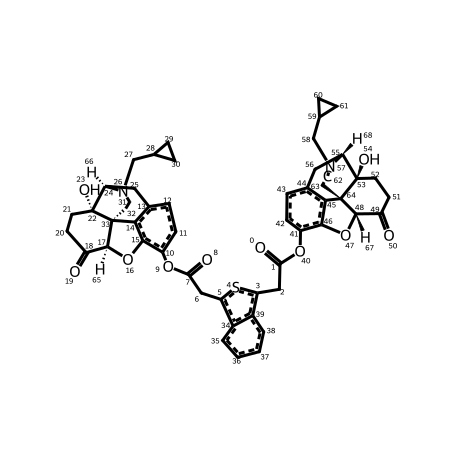 O=C(Cc1sc(CC(=O)Oc2ccc3c4c2O[C@H]2C(=O)CC[C@@]5(O)[C@@H](C3)N(CC3CC3)CC[C@]425)c2ccccc12)Oc1ccc2c3c1O[C@H]1C(=O)CC[C@@]4(O)[C@@H](C2)N(CC2CC2)CC[C@]314